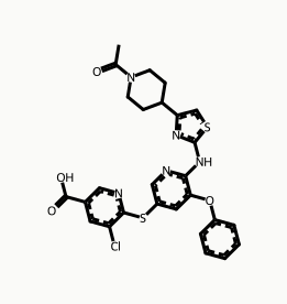 CC(=O)N1CCC(c2csc(Nc3ncc(Sc4ncc(C(=O)O)cc4Cl)cc3Oc3ccccc3)n2)CC1